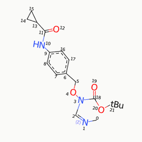 C/N=C\N(OCc1ccc(NC(=O)C2CC2)cc1)C(=O)OC(C)(C)C